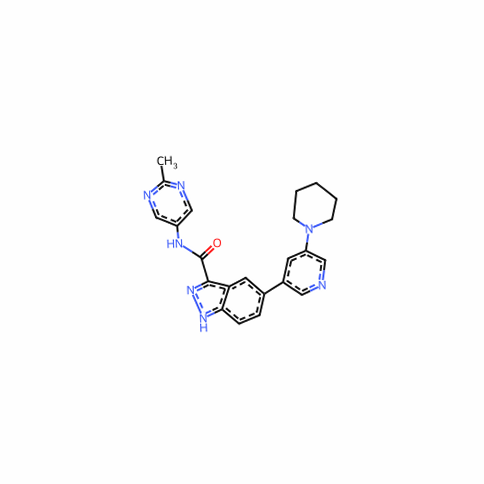 Cc1ncc(NC(=O)c2n[nH]c3ccc(-c4cncc(N5CCCCC5)c4)cc23)cn1